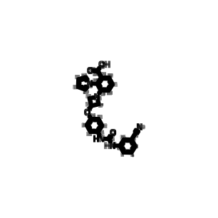 N#Cc1cccc(NC(=O)Nc2ccc(OC3CN(c4cccc(C(=O)O)c4-n4cccc4)C3)cc2)c1